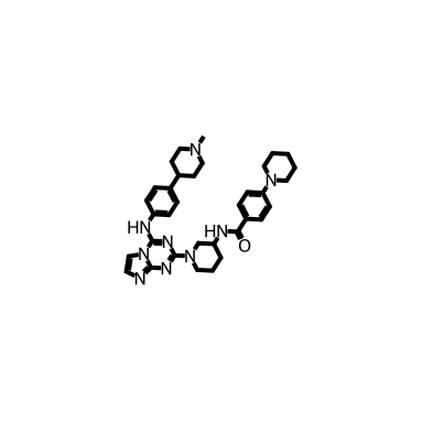 CN1CCC(c2ccc(Nc3nc(N4CCCC(NC(=O)c5ccc(N6CCCCC6)cc5)C4)nc4nccn34)cc2)CC1